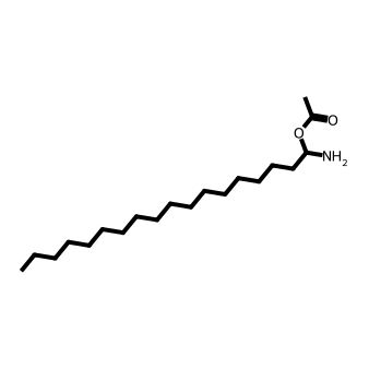 CCCCCCCCCCCCCCCCCC(N)OC(C)=O